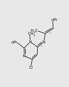 CCC/C=C(C)/N=c1/cc(Cl)nc(CCC)n1C